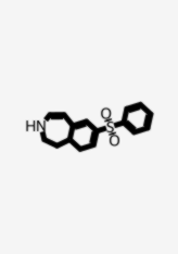 O=S(=O)(C1=CCC2CCNC=CC2=C1)c1ccccc1